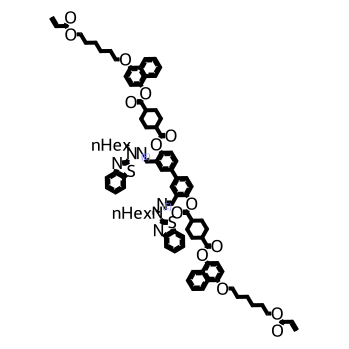 C=CC(=O)OCCCCCCOc1ccc(OC(=O)C2CCC(C(=O)Oc3ccc(-c4ccc(OC(=O)C5CCC(C(=O)Oc6ccc(OCCCCCCOC(=O)C=C)c7ccccc67)CC5)c(/C=N/N(CCCCCC)c5nc6ccccc6s5)c4)cc3/C=N/N(CCCCCC)c3nc4ccccc4s3)CC2)c2ccccc12